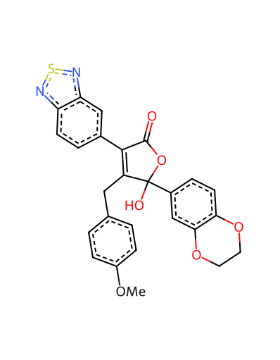 COc1ccc(CC2=C(c3ccc4nsnc4c3)C(=O)OC2(O)c2ccc3c(c2)OCCO3)cc1